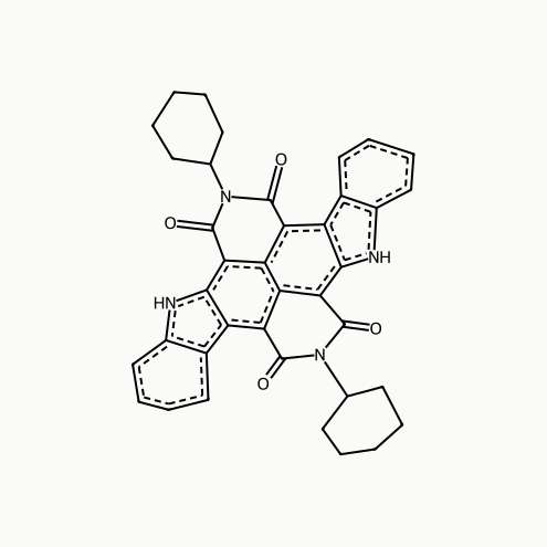 O=C1c2c3[nH]c4ccccc4c3c3c4c(c5[nH]c6ccccc6c5c(c24)C(=O)N1C1CCCCC1)C(=O)N(C1CCCCC1)C3=O